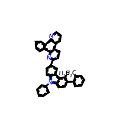 Cc1ccccc1-c1ccc2c(c1C)c1cc(-c3ccc4c5cccnc5c5ccccc5c4n3)ccc1n2-c1ccccc1